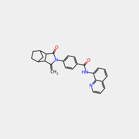 C=C1C2C3CCC(C3)C2C(=O)N1c1ccc(C(=O)Nc2cccc3cccnc23)cc1